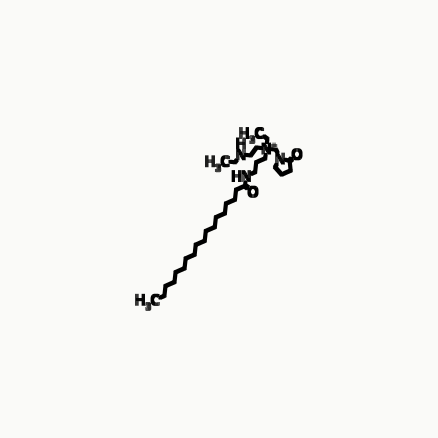 CCCCCCCCCCCCCCCCCC(=O)NCCC[N+](CC)(CCNCC)CN1CCCC1=O